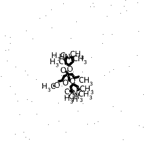 CCCCC(CCCOC)(C(=O)OC1CC(C)(C)NC(C)(C)C1)C(=O)OC1CC(C)(C)NC(C)(C)C1